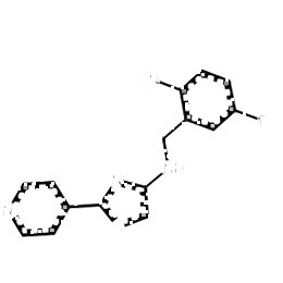 Nc1ccc(F)cc1CNc1csc(-c2ccncc2)n1